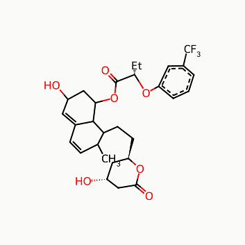 CC[C@H](Oc1cccc(C(F)(F)F)c1)C(=O)OC1CC(O)C=C2C=CC(C)C(CC[C@@H]3C[C@@H](O)CC(=O)O3)C21